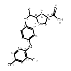 CC(Oc1ccc(Oc2ncc(Cl)cc2Cl)cc1)C1N[C@@H](C(=O)O)CS1